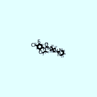 CC1COc2cc(Cl)c(F)cc2N1C(=O)N1CC2(C1)CN(c1ncccn1)C2